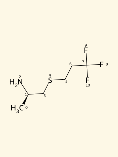 C[C@@H](N)CSCCC(F)(F)F